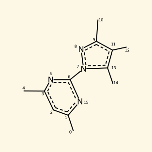 Cc1cc(C)nc(-n2nc(C)c(C)c2C)n1